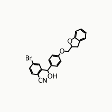 N#Cc1ccc(Br)cc1C(O)c1ccc(OCC2Cc3ccccc3O2)cc1